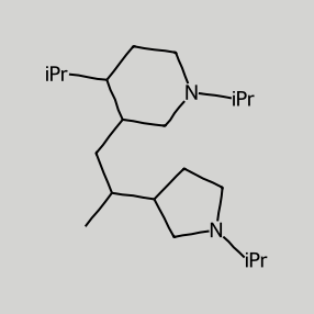 CC(C)C1CCN(C(C)C)CC1CC(C)C1CCN(C(C)C)C1